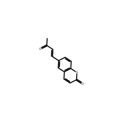 CC(=O)/C=C/c1ccc2oc(=O)ccc2c1